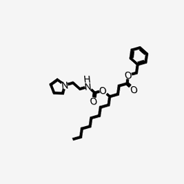 CCCCCCCCC(CCC(=O)OCc1ccccc1)OC(=O)NCCN1CCCC1